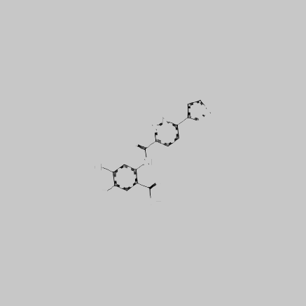 O=C(Nc1cc(Cl)c(F)cc1C(=O)O)c1ccc(-c2ccns2)nn1